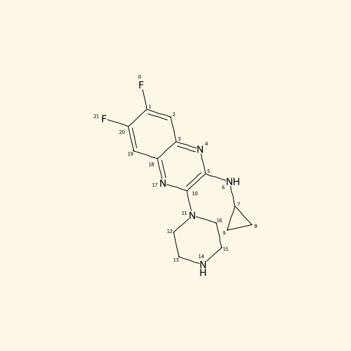 Fc1cc2nc(NC3CC3)c(N3CCNCC3)nc2cc1F